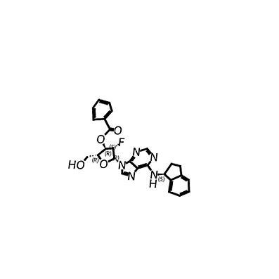 O=C(O[C@H]1[C@H](F)[C@H](n2cnc3c(N[C@H]4CCc5ccccc54)ncnc32)O[C@@H]1CO)c1ccccc1